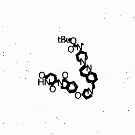 CN(C(=O)OC(C)(C)C)C1CCN(c2ccc3cc(CN4CC[C@H](Oc5ccc6c(c5)CN(C5CCC(=O)NC5=O)C6=O)C4)ccc3n2)CC1